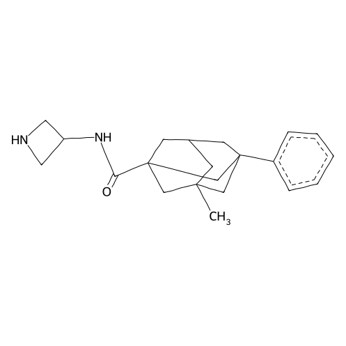 CC12CC3CC(C(=O)NC4CNC4)(C1)CC(c1ccccc1)(C3)C2